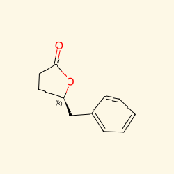 O=C1CC[C@H](Cc2ccccc2)O1